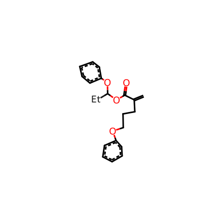 C=C(CCCOc1ccccc1)C(=O)OC(CC)Oc1ccccc1